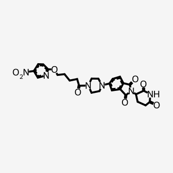 O=C1CCC(N2C(=O)c3ccc(N4CCN(C(=O)CCCCOc5ccc([N+](=O)[O-])cn5)CC4)cc3C2=O)C(=O)N1